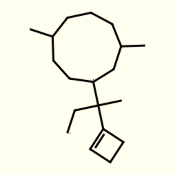 [CH2]CC(C)([C]1CCC(C)CCCC(C)C1)C1=CCC1